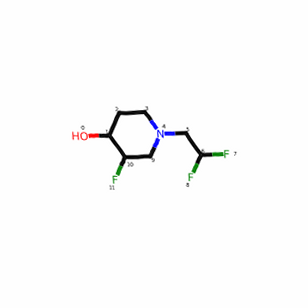 OC1CCN(CC(F)F)CC1F